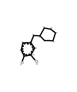 Clc1ccc(CC2CCCCC2)cc1Cl